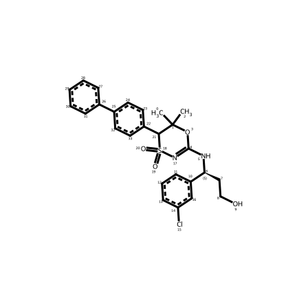 CC1(C)OC(N[C@@H](CCO)c2cccc(Cl)c2)=NS(=O)(=O)C1c1ccc(-c2ccccc2)cc1